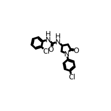 O=C(Nc1ccccc1Cl)NC1CC(=O)N(c2ccc(Cl)cc2)C1